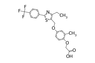 CCc1nc(-c2ccc(C(F)(F)F)cc2)sc1COc1ccc(OCC(=O)O)c(C)c1